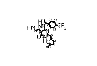 CC1CCC(CC2=NC3C(C(=O)N2)C(CO)NN3C(C)C2=CCC(C(F)(F)F)C=C2)O1